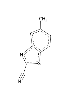 Cc1ccc2sc(C#N)nc2c1